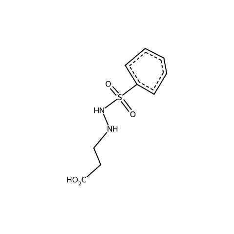 O=C(O)CCNNS(=O)(=O)c1ccccc1